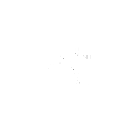 N=C(N)NN.O.O.O=[N+]([O-])O